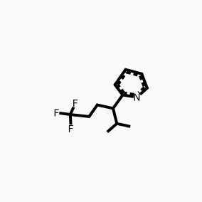 CC(C)C(CCC(F)(F)F)c1ccccn1